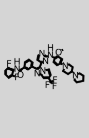 COc1cc(N2CCC(N3CCCCC3)CC2)ccc1Nc1nccc(-c2c(-c3cccc(C(=O)Nc4c(F)cccc4F)c3)nc3cc(C(F)(F)F)ccn23)n1